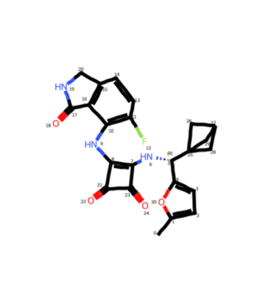 Cc1ccc([C@H](Nc2c(Nc3c(F)ccc4c3C(=O)NC4)c(=O)c2=O)C23CC(C2)C3)o1